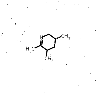 CC1=NCC(C)CC1C